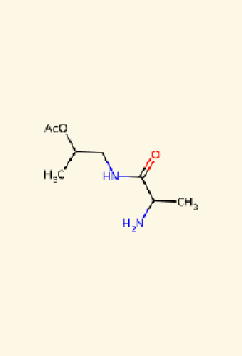 CC(=O)OC(C)CNC(=O)C(C)N